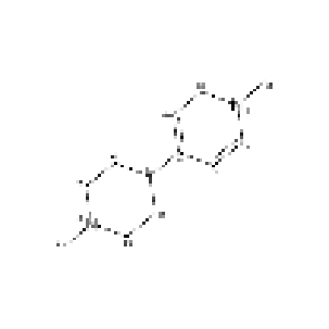 CN1C=CC(C2CCN(C)CC2)=CC1